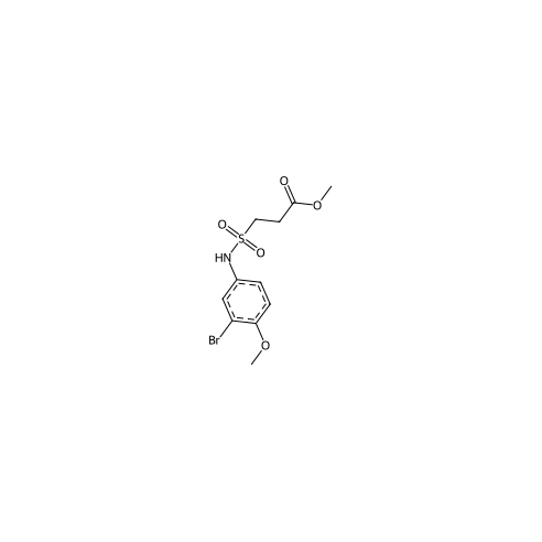 COC(=O)CCS(=O)(=O)Nc1ccc(OC)c(Br)c1